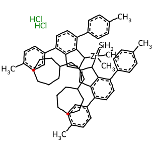 Cc1ccc(-c2ccc(-c3ccc(C)cc3)c3c2C=C(CC2CCCCCC2)[CH]3[Zr]([CH3])([CH3])(=[SiH2])[CH]2C(CC3CCCCCC3)=Cc3c(-c4ccc(C)cc4)ccc(-c4ccc(C)cc4)c32)cc1.Cl.Cl